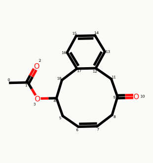 CC(=O)OC1CC=CCC(=O)Cc2ccccc2C1